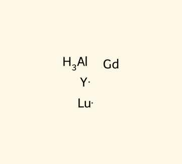 [AlH3].[Gd].[Lu].[Y]